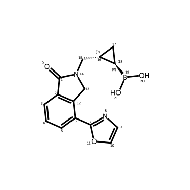 O=C1c2cccc(-c3ncco3)c2CN1C[C@@H]1C[C@H]1B(O)O